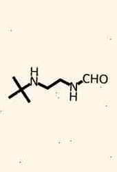 CC(C)(C)NCCNC=O